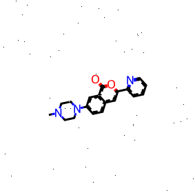 CN1CCN(c2ccc3cc(-c4ccccn4)oc(=O)c3c2)CC1